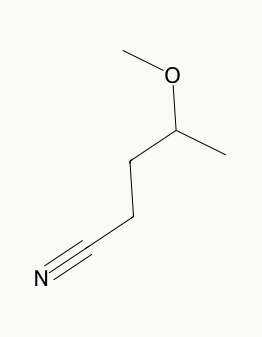 COC(C)CCC#N